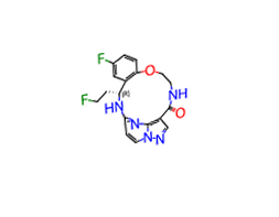 O=C1NCCOc2ccc(F)cc2[C@@H](CCF)Nc2ccn3ncc1c3n2